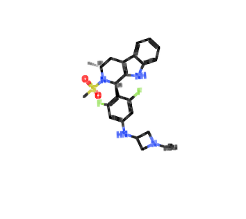 CCCCN1CC(Nc2cc(F)c([C@@H]3c4[nH]c5ccccc5c4C[C@@H](C)N3S(C)(=O)=O)c(F)c2)C1